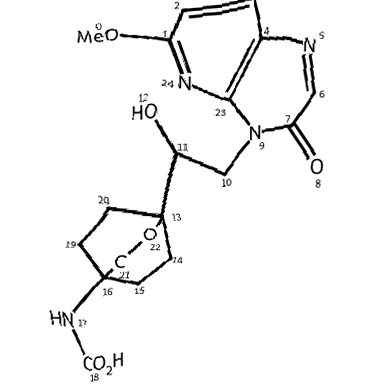 COc1ccc2ncc(=O)n(CC(O)C34CCC(NC(=O)O)(CC3)CO4)c2n1